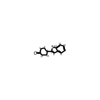 O=C1CCC(c2cc3ccccc3s2)CC1